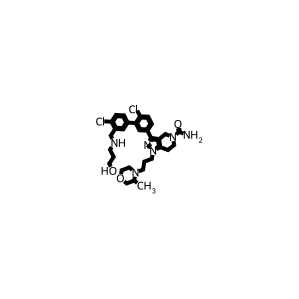 CC1COCCN1CCCn1nc(-c2ccc(Cl)c(-c3ccc(Cl)c(CNCCCO)c3)c2)c2c1CCN(C(N)=O)C2